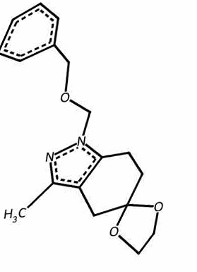 Cc1nn(COCc2ccccc2)c2c1CC1(CC2)OCCO1